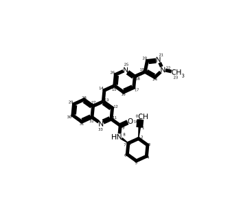 C#C[C@H]1CCCC[C@H]1NC(=O)c1cc(Cc2ccc(-c3cnn(C)c3)nc2)c2ccccc2n1